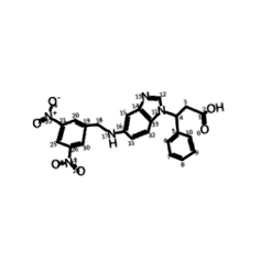 O=C(O)CC(c1ccccc1)n1cnc2cc(NCc3cc([N+](=O)[O-])cc([N+](=O)[O-])c3)ccc21